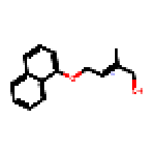 C/C(=C\COc1cccc2ccccc12)CO